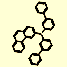 c1ccc(-c2cccc(N(c3cccc(-c4ccccc4)c3)c3ccc4ccc5ccccc5c4c3)c2)cc1